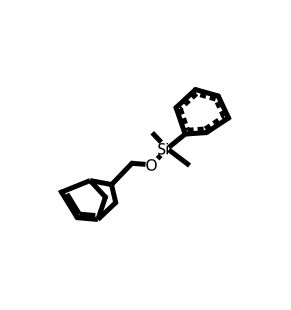 C[Si](C)(OCC1CC2=C=CC1C2)c1ccccc1